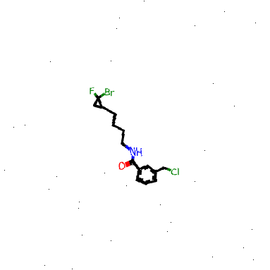 O=C(NCCCCC1CC1(F)Br)c1cccc(CCl)c1